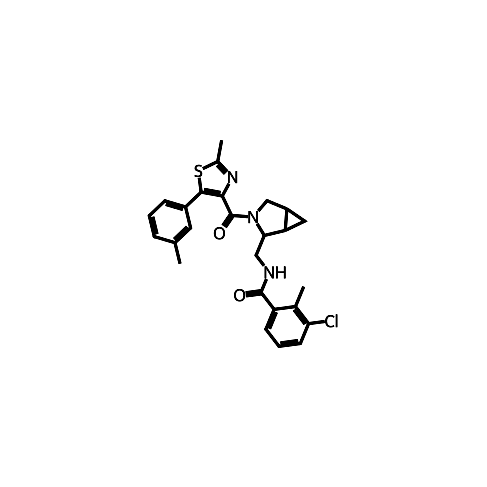 Cc1cccc(-c2sc(C)nc2C(=O)N2CC3CC3C2CNC(=O)c2cccc(Cl)c2C)c1